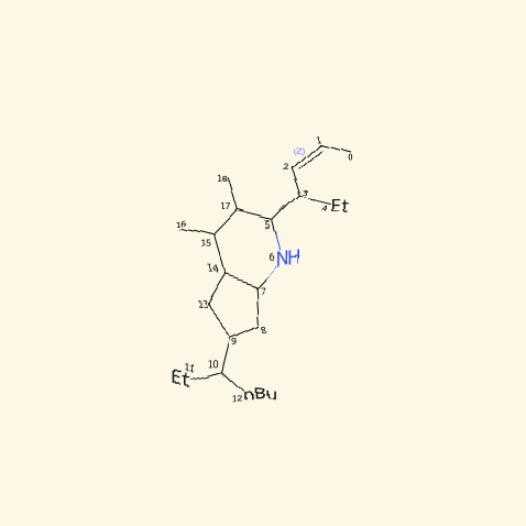 C/C=C\C(CC)C1NC2CC(C(CC)CCCC)CC2C(C)C1C